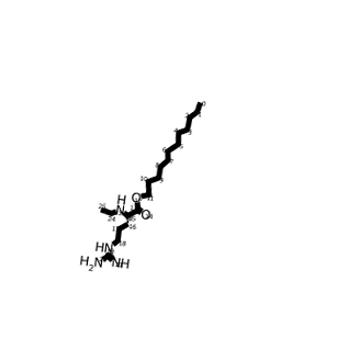 CCCCCCCCCCCCOC(=O)[C@H](CCCNC(=N)N)NCC